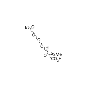 CCC(=O)CCOCCOCCOCCNC(=O)C(CC(=O)O)SSC